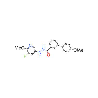 COc1ccc(-c2cccc(C(=O)NNc3cnc(OC)c(F)c3)c2)cc1